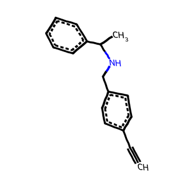 C#Cc1ccc(CNC(C)c2ccccc2)cc1